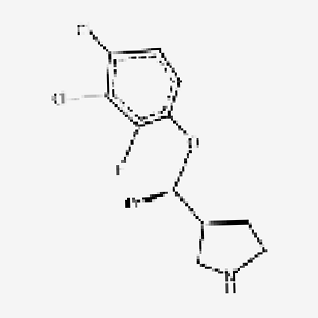 CC(C)[C@@H](Oc1ccc(Cl)c(Cl)c1F)[C@H]1CCNC1